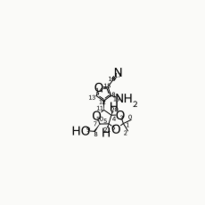 CC1(C)O[C@@H]2[C@H](O1)[C@@H](CO)O[C@H]2c1coc(C#N)c1N